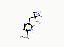 COc1ccc(CC2(N)CNC2)cn1